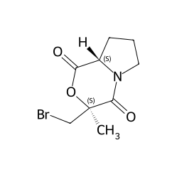 C[C@]1(CBr)OC(=O)[C@@H]2CCCN2C1=O